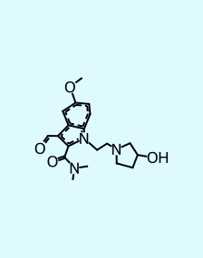 COc1ccc2c(c1)c(C=O)c(C(=O)N(C)C)n2CCN1CCC(O)C1